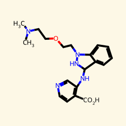 CN(C)CCOCCN1NC(Nc2cnccc2C(=O)O)c2ccccc21